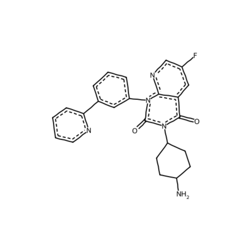 NC1CCC(n2c(=O)c3cc(F)cnc3n(-c3cccc(-c4ccccn4)c3)c2=O)CC1